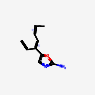 C=C/C(=C\C=C/C)c1cnc(N)o1